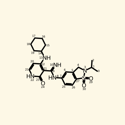 CC(C)N1Cc2cc(NC(=N)c3c(NC4CCCCC4)cc[nH]c3=O)ccc2S1(=O)=O